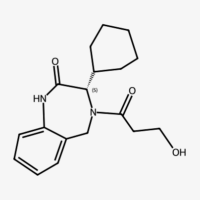 O=C1Nc2ccccc2CN(C(=O)CCO)[C@H]1C1CCCCC1